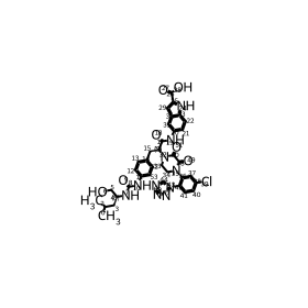 CC(C)C[C@@H](CO)NC(=O)Nc1ccc(C[C@@H](C(=O)Nc2ccc3[nH]c(C(=O)O)cc3c2)N2CCN(c3cc(Cl)ccc3-n3cnnn3)C(=O)C2=O)cc1